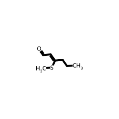 CCCC(=CC=O)SC